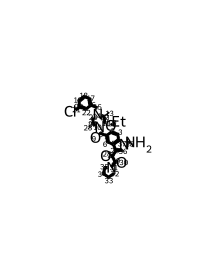 CCOc1cc2c(cc1C(=O)N1C[C@H](C)N(Cc3cccc(Cl)c3)C[C@H]1C)c(C(=O)C(=O)N1CCCC1)cn2N